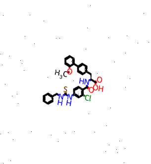 COc1ccccc1-c1ccc(C[C@H](NC(=O)c2ccc(NC(=S)NCc3ccccc3)cc2Cl)C(=O)O)cc1